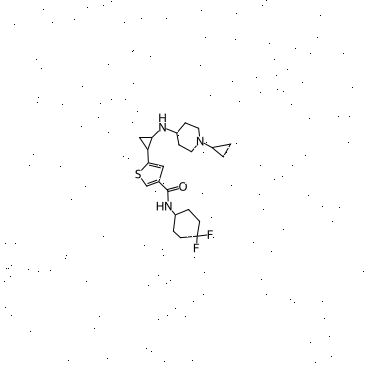 O=C(NC1CCC(F)(F)CC1)c1csc(C2CC2NC2CCN(C3CC3)CC2)c1